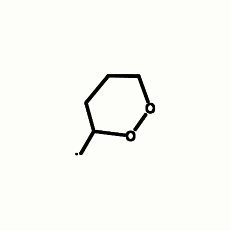 [CH2]C1CCCOO1